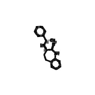 C[C@H](N[C@@H]1CCc2ccccc2NC1=O)c1ccccc1